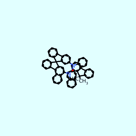 CC1(C)c2ccccc2-c2cccc(N(c3ccccc3)c3cc4c(c5ccccc35)-c3ccccc3C43c4ccccc4-c4ccc(N(c5ccccc5)c5ccccc5)cc43)c21